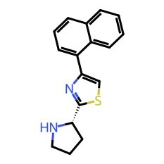 c1ccc2c(-c3csc([C@@H]4CCCN4)n3)cccc2c1